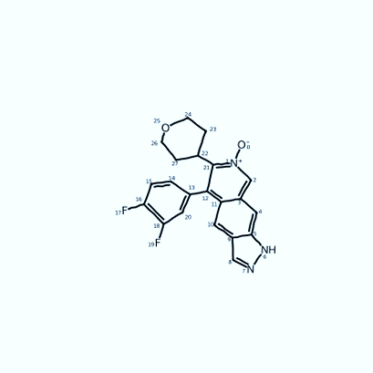 [O-][n+]1cc2cc3[nH]ncc3cc2c(-c2ccc(F)c(F)c2)c1C1CCOCC1